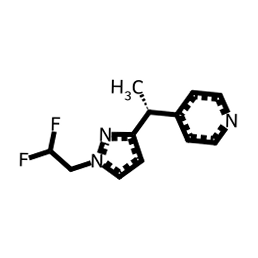 C[C@H](c1ccncc1)c1ccn(CC(F)F)n1